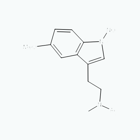 COc1ccc2c(c1)c(CCN(C)C(C)=O)cn2N=O